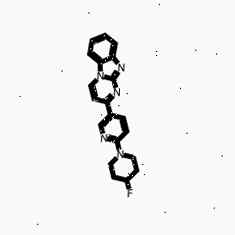 FC1CCN(c2ccc(-c3ccn4c(n3)nc3ccccc34)cn2)CC1